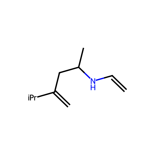 C=CNC(C)CC(=C)C(C)C